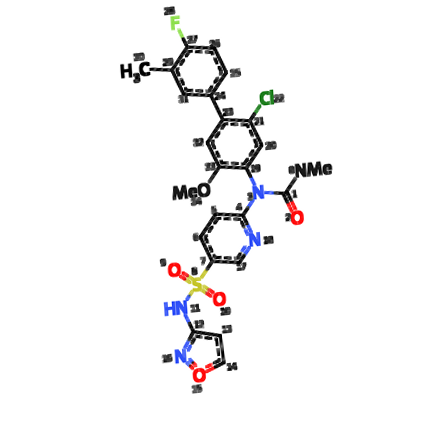 CNC(=O)N(c1ccc(S(=O)(=O)Nc2ccon2)cn1)c1cc(Cl)c(-c2ccc(F)c(C)c2)cc1OC